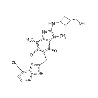 Cn1c(NC2CC(CO)C2)nc2c1c(=O)n(Cc1cc3c(Cl)cccc3[nH]1)c(=O)n2C